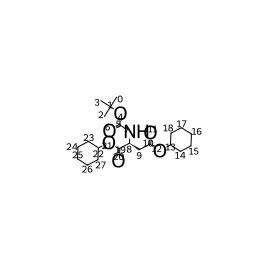 CC(C)(C)OC(=O)N[C@@H](CC(=O)OC1CCCCC1)C(=O)OC1CCCCC1